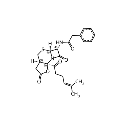 CC(C)=CCCC(=O)[C@]12OC(=O)C[C@H]1CS[C@@H]1[C@H](NC(=O)Cc3ccccc3)C(=O)N12